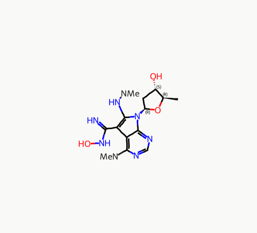 CNNc1c(C(=N)NO)c2c(NC)ncnc2n1[C@H]1C[C@H](O)[C@@H](C)O1